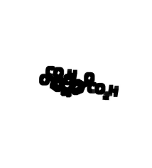 CC1(C)c2ccc(C(=O)C(=O)O)cc2Oc2cc(C(=O)C(=O)O)ccc21